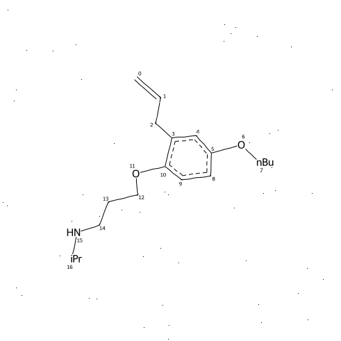 C=CCc1cc(OCCCC)ccc1OCCCNC(C)C